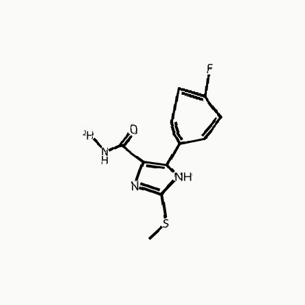 [2H]NC(=O)c1nc(SC)[nH]c1-c1ccc(F)cc1